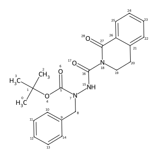 CC(C)(C)OC(=O)N(Cc1ccccc1)NC(=O)N1CCc2ccccc2C1=O